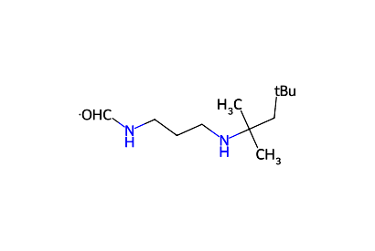 CC(C)(C)CC(C)(C)NCCCN[C]=O